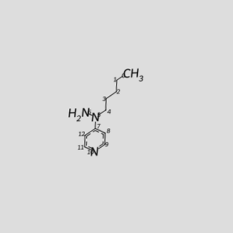 CCCCCN(N)c1ccncc1